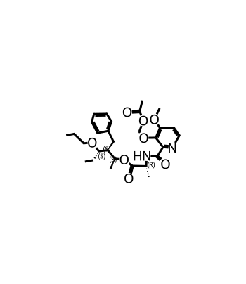 CCCO[C@@H](CC)[C@@H](Cc1ccccc1)[C@H](C)OC(=O)[C@@H](C)NC(=O)c1nccc(OC)c1OCOC(C)=O